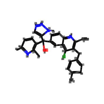 COc1nc2ccc(C(O)(c3ccc(C)nc3C)c3cnnn3C)cc2c(Cl)c1Cc1ccc(C(F)(F)F)cc1